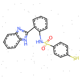 O=S(=O)(Nc1ccccc1-c1nc2ccccc2[nH]1)c1ccc(S)cc1